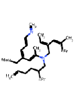 C=CCCC(CCC)CN(CC(/C=C(/C)CCC)=C/C)/C(C)=C/C(=C\C=C\N=C)CNC